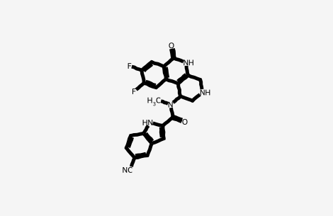 CN(C(=O)c1cc2cc(C#N)ccc2[nH]1)C1CNCc2[nH]c(=O)c3cc(F)c(F)cc3c21